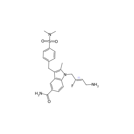 Cc1c(Cc2ccc(S(=O)(=O)N(C)C)cc2)c2cc(C(N)=O)ccc2n1C/C(F)=C/CN